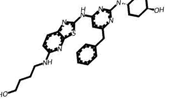 OCCCCNc1ccc2nc(Nc3cc(Cc4ccccc4)nc(N[C@H]4CC[C@H](O)CC4)n3)sc2n1